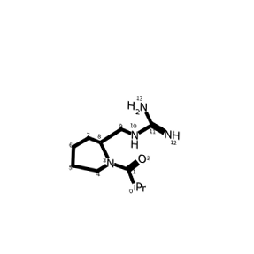 CC(C)C(=O)N1CCCCC1CNC(=N)N